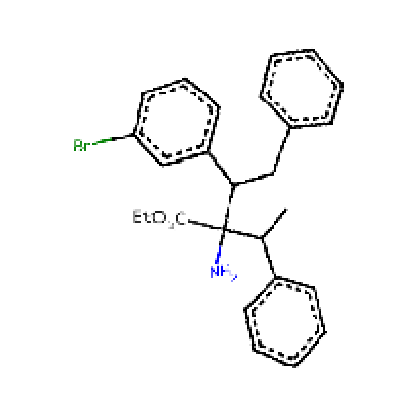 CCOC(=O)C(N)(C(C)c1ccccc1)C(Cc1ccccc1)c1cccc(Br)c1